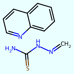 C=NNC(N)=S.c1ccc2ncccc2c1